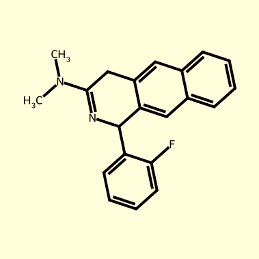 CN(C)C1=NC(c2ccccc2F)c2cc3ccccc3cc2C1